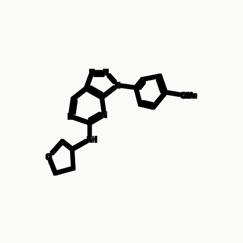 COc1ccc(-n2nnc3cnc(NC4CCOC4)nc32)cc1